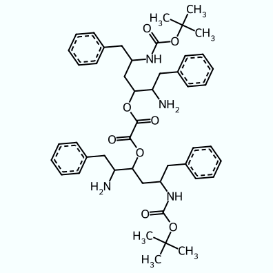 CC(C)(C)OC(=O)NC(Cc1ccccc1)CC(OC(=O)C(=O)OC(CC(Cc1ccccc1)NC(=O)OC(C)(C)C)C(N)Cc1ccccc1)C(N)Cc1ccccc1